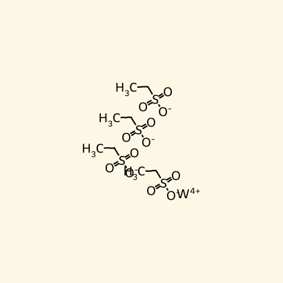 CCS(=O)(=O)[O-].CCS(=O)(=O)[O-].CCS(=O)(=O)[O-].CCS(=O)(=O)[O-].[W+4]